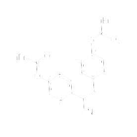 CC(C)C(=O)Oc1ccc(CC(C#N)c2ccc(OC(=O)C(C)C)cc2)cc1